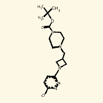 CC(C)(C)OC(=O)N1CCN(CC2CN(c3ccc(Cl)nn3)C2)CC1